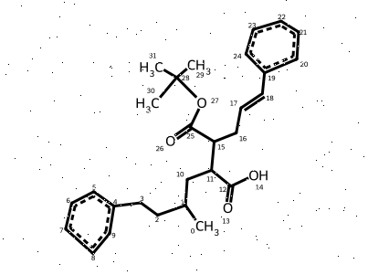 CC(CCc1ccccc1)CC(C(=O)O)C(C/C=C/c1ccccc1)C(=O)OC(C)(C)C